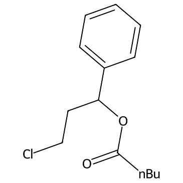 CCCCC(=O)OC(CCCl)c1ccccc1